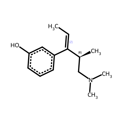 C/C=C(\c1cccc(O)c1)[C@@H](C)CN(C)C